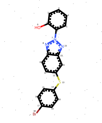 Oc1ccccc1-n1nc2ccc(Sc3ccc(Br)cc3)cc2n1